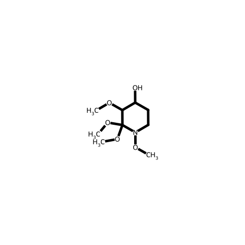 COC1C(O)CCN(OC)C1(OC)OC